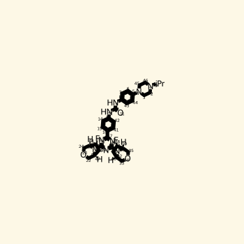 CC(C)N1CCN(c2ccc(NC(=O)Nc3ccc(-c4nc(N5[C@@H]6COC[C@H]5[C@H](F)C6)nc(N5[C@@H]6COC[C@H]5[C@H](F)C6)n4)cc3)cc2)CC1